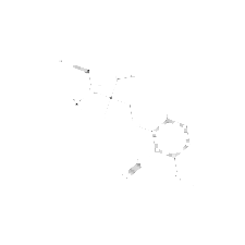 CCC(CC)(COc1cccc(N)c1C#N)N(C(=O)O)C(C)(C)C